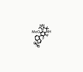 COc1c(-c2cccc3c2ccn3S(C)(=O)=O)c(F)c(F)c2c1-n1c(C)nnc1C(C)(C)N2